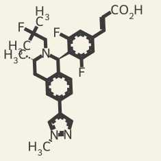 C[C@H]1Cc2cc(-c3cnn(C)c3)ccc2[C@H](c2c(F)cc(/C=C/C(=O)O)cc2F)N1CC(C)(C)F